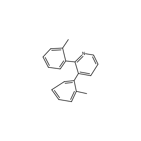 Cc1ccccc1-c1cccnc1-c1ccccc1C